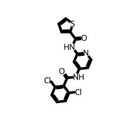 O=C(Nc1cc(NC(=O)c2c(Cl)cccc2Cl)ccn1)c1cccs1